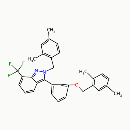 Cc1ccc(Cn2nc3c(C(F)(F)F)cccc3c2-c2cccc(OCc3cc(C)ccc3C)c2)c(C)c1